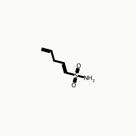 C=CCC=CS(N)(=O)=O